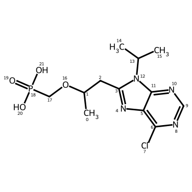 CC(Cc1nc2c(Cl)ncnc2n1C(C)C)OCP(=O)(O)O